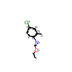 CCOC=Nc1ccc(Cl)cc1C